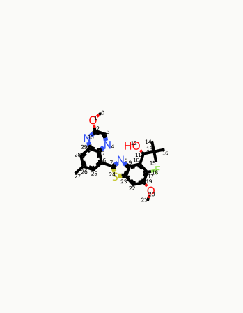 COc1cnc2c(-c3nc4c(C(O)C(C)(C)C)c(F)c(OC)cc4s3)cc(C)cc2n1